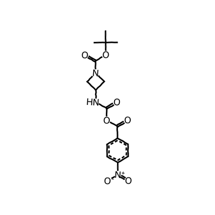 CC(C)(C)OC(=O)N1CC(NC(=O)OC(=O)c2ccc([N+](=O)[O-])cc2)C1